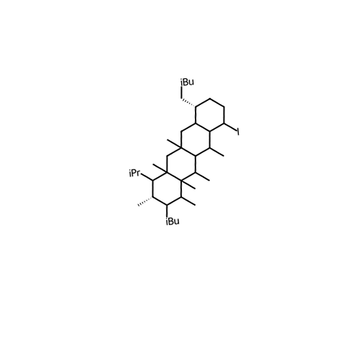 CCC(C)C[C@@H]1CCC(I)C2C(C)C3C(C)C4(C)C(C)C(C(C)CC)[C@H](C)C(C(C)C)C4(C)CC3(C)CC21